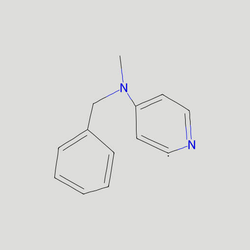 CN(Cc1ccccc1)c1c[c]ncc1